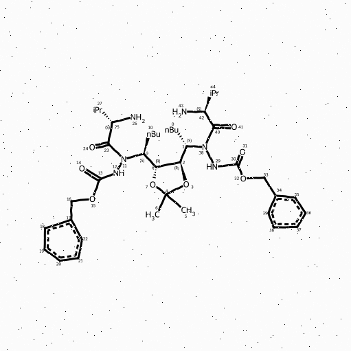 CCCC[C@@H]([C@H]1OC(C)(C)O[C@@H]1[C@H](CCCC)N(NC(=O)OCc1ccccc1)C(=O)[C@@H](N)C(C)C)N(NC(=O)OCc1ccccc1)C(=O)[C@@H](N)C(C)C